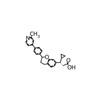 Cc1cc(-c2ccc(C3CCc4ccc([C@@H](CC(=O)O)C5CC5)cc4O3)cc2)ccn1